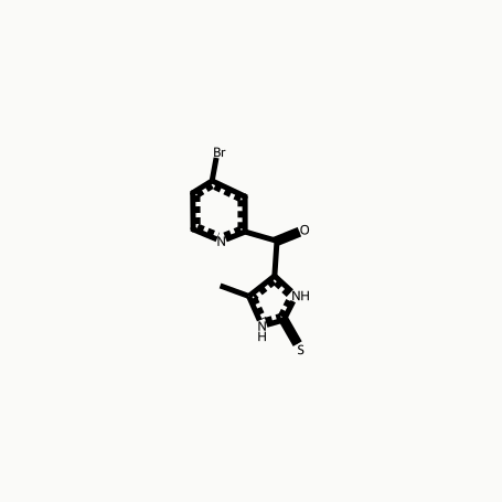 Cc1[nH]c(=S)[nH]c1C(=O)c1cc(Br)ccn1